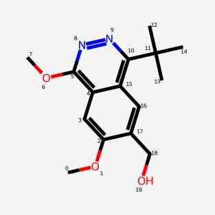 COc1cc2c(OC)nnc(C(C)(C)C)c2cc1CO